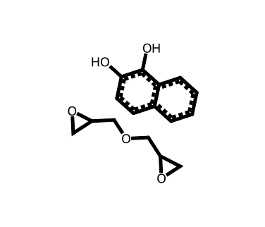 C(OCC1CO1)C1CO1.Oc1ccc2ccccc2c1O